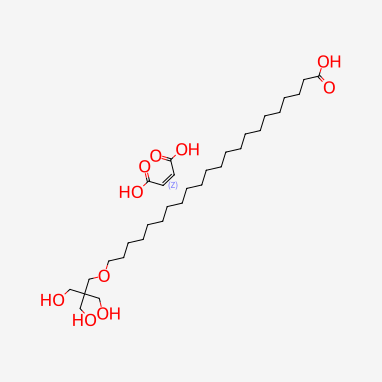 O=C(O)/C=C\C(=O)O.O=C(O)CCCCCCCCCCCCCCCCCCCCCOCC(CO)(CO)CO